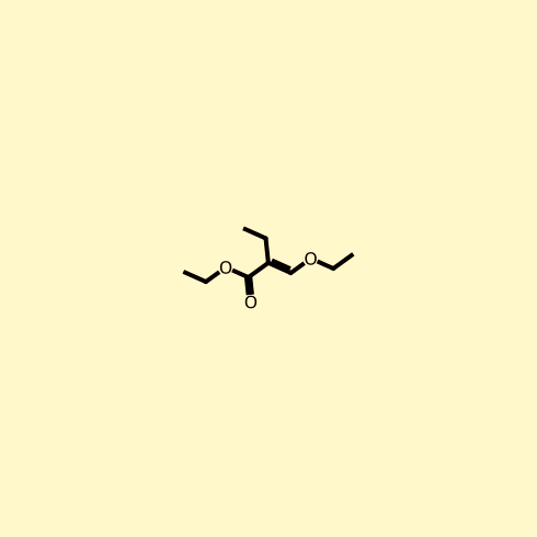 CCO/C=C(\CC)C(=O)OCC